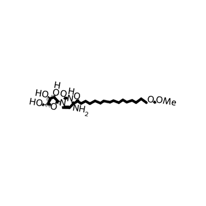 COCOCCCCCCCCCCCCCCCC(=O)C1(N)C=CN([C@@H]2O[C@H](CO)[C@@H](O)[C@@H]2O)C(=O)N1